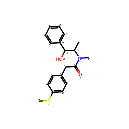 CSc1ccc(CC(=O)N(C)C(C)C(O)c2ccccc2)cc1